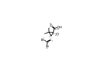 CC1(C)[C@@H](C=C(Br)Br)[C@]1(Cl)C(=O)O